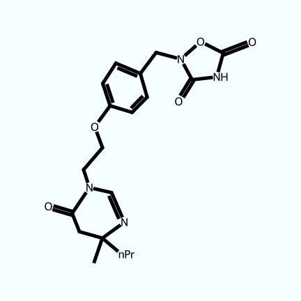 CCCC1(C)CC(=O)N(CCOc2ccc(Cn3oc(=O)[nH]c3=O)cc2)C=N1